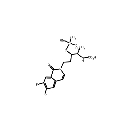 CC(NC(=O)O)C(CCn1ccc2cc(Br)c(F)cc2c1=O)O[Si](C)(C)C(C)(C)C